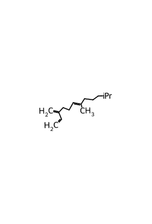 C=CC(=C)CC/C=C(\C)CCCC(C)C